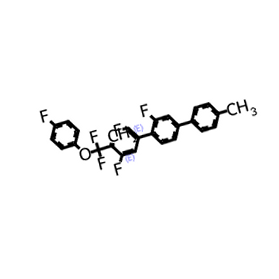 C=C(/C(F)=C\C(=C/F)c1ccc(-c2ccc(C)cc2)cc1F)C(F)(F)Oc1ccc(F)cc1